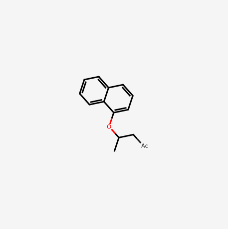 [CH2]C(CC(C)=O)Oc1cccc2ccccc12